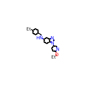 CCOc1ccc(-n2cnc3cc(NCc4ccc(CC)cc4)ccc32)cn1